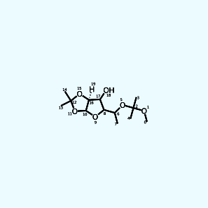 COC(C)(C)OC(C)C1OC2OC(C)(C)O[C@H]2C1O